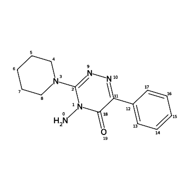 Nn1c(N2CCCCC2)nnc(-c2ccccc2)c1=O